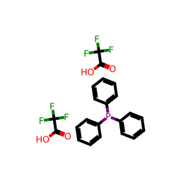 O=C(O)C(F)(F)F.O=C(O)C(F)(F)F.c1ccc(P(c2ccccc2)c2ccccc2)cc1